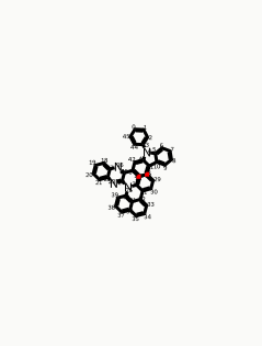 c1ccc(-n2c3ccccc3c3ccc(-c4nc5ccccc5nc4N4c5ccccc5-c5cccc6cccc4c56)cc32)cc1